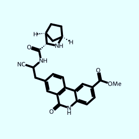 COC(=O)c1ccc2[nH]c(=O)c3cc(CC(C#N)NC(=O)[C@H]4N[C@@H]5CC[C@H]4C5)ccc3c2c1